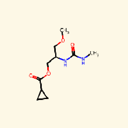 CNC(=O)NC(COC)COC(=O)C1CC1